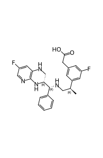 C[C@@H](CN[C@H](c1ccccc1)[C@H]1CNc2cc(F)cnc2N1)c1cc(F)cc(CC(=O)O)c1